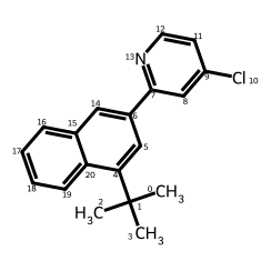 CC(C)(C)c1cc(-c2cc(Cl)ccn2)cc2ccccc12